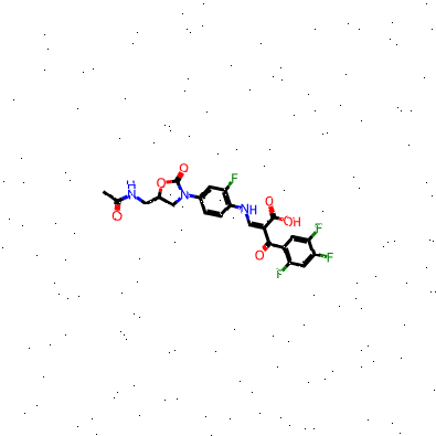 CC(=O)NCC1CN(c2ccc(NC=C(C(=O)O)C(=O)c3cc(F)c(F)cc3F)c(F)c2)C(=O)O1